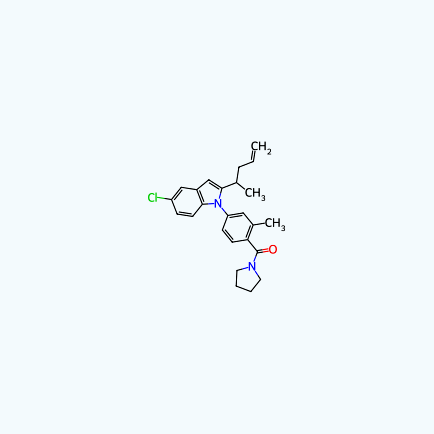 C=CCC(C)c1cc2cc(Cl)ccc2n1-c1ccc(C(=O)N2CCCC2)c(C)c1